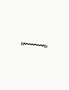 C[N+](C)(C)CCCCCCCCCCCCCCCBr